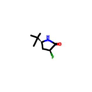 CC(C)(C)[C@H]1C[C@H](F)C(=O)N1